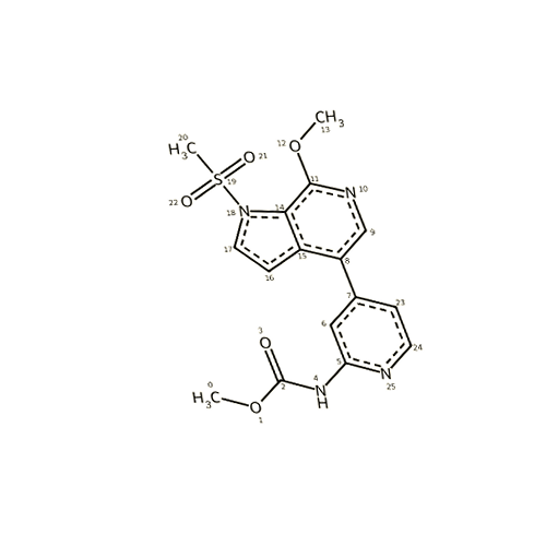 COC(=O)Nc1cc(-c2cnc(OC)c3c2ccn3S(C)(=O)=O)ccn1